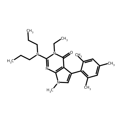 CCCN(CCC)c1nc2c(c(-c3c(C)cc(C)cc3C)cn2C)c(=O)n1CC